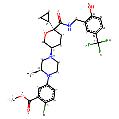 COC(=O)c1cc(N2CCN([C@@H]3CC[C@@](C(=O)NCc4cc(C(F)(F)F)ccc4O)(C4CC4)OC3)C[C@@H]2C)ccc1F